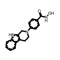 O=C(NO)c1ccc(N2CCc3c([nH]c4ccccc34)C2)cc1